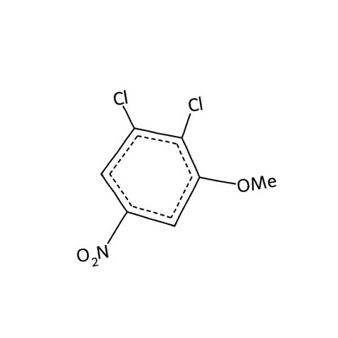 COc1cc([N+](=O)[O-])cc(Cl)c1Cl